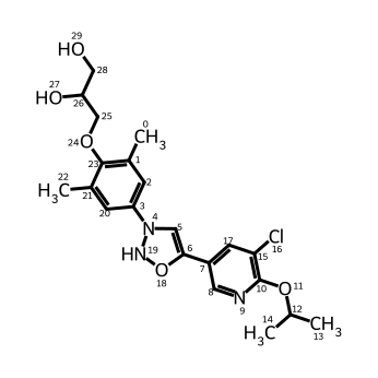 Cc1cc(N2C=C(c3cnc(OC(C)C)c(Cl)c3)ON2)cc(C)c1OCC(O)CO